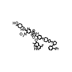 Cc1nc2[nH]cc(F)c2cc1Oc1cc(N2CCC3(CC2)CC(N2CCC[C@H]2c2ccccc2C(C)C)C3)ccc1C(=O)NS(=O)(=O)c1cnc(NCC2CCC(C)(O)CC2)c([N+](=O)[O-])c1